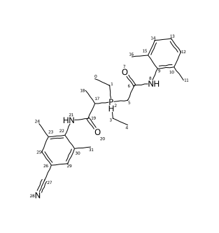 CC[PH](CC)(CC(=O)Nc1c(C)cccc1C)C(C)C(=O)Nc1c(C)cc(C#N)cc1C